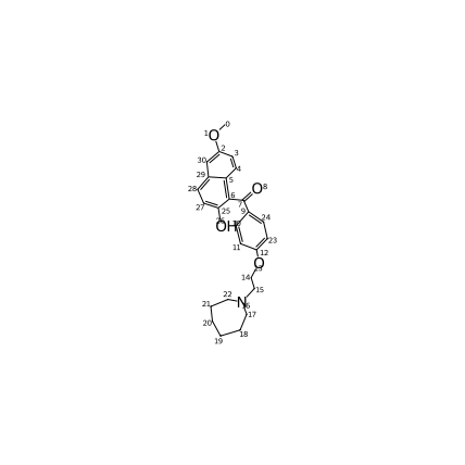 COc1ccc2c(C(=O)c3ccc(OCCN4CCCCCC4)cc3)c(O)ccc2c1